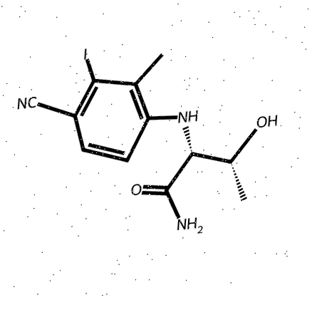 Cc1c(N[C@@H](C(N)=O)[C@@H](C)O)ccc(C#N)c1I